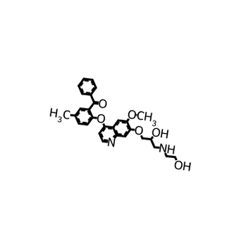 COc1cc2c(Oc3ccc(C)cc3C(=O)c3ccccc3)ccnc2cc1OCC(O)CNCCO